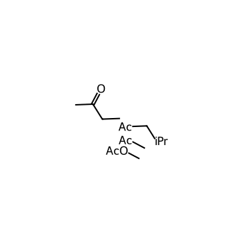 CC(=O)CC(C)C.CC(C)=O.CCC(C)=O.COC(C)=O